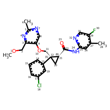 COCc1nc(C)ncc1OC[C@@]1(c2cccc(Cl)c2)C[C@H]1C(=O)Nc1cc(C)c(F)cn1